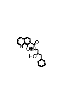 O=C(NCC(O)Cc1ccccc1)c1ccc2cccnc2c1O